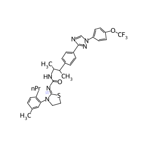 CCCc1ccc(C)cc1N1CCS/C1=N\C(=O)NC(C)C(C)c1ccc(-c2ncn(-c3ccc(OC(F)(F)F)cc3)n2)cc1